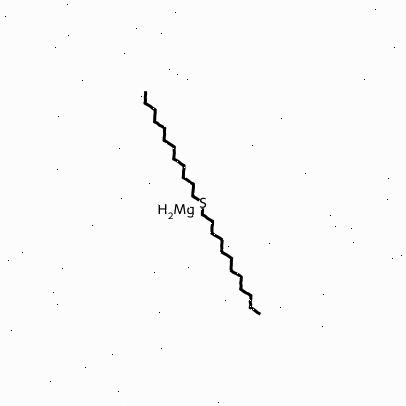 CCCCCCCCCCCCSCCCCCCCCCCCC.[MgH2]